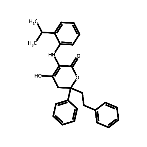 CC(C)c1ccccc1NC1=C(O)CC(CCc2ccccc2)(c2ccccc2)OC1=O